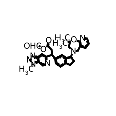 Cn1nnc2cc(C(CC(=O)OC=O)c3ccc4c(c3)C(N3Cc5cccnc5OC(C)(C)C3)CC4)ncc21